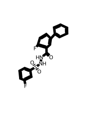 O=C(NNS(=O)(=O)c1cccc(F)c1)c1cc(-c2ccccc2)ccc1F